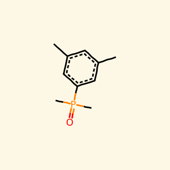 Cc1cc(C)cc(P(C)(C)=O)c1